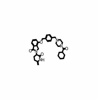 C=C1CCC(N2Cc3c(OCc4ccc(CN5CCN(C(=O)C6CCCCC6)CC5)cc4)cccc3C2=O)C(=O)N1